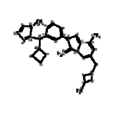 C=C1N2C=C(CN3CC(C(F)(F)F)C3)C=C(C(F)(F)F)C2=CN1c1cccc(C(c2nncn2C)C2CCC2)c1